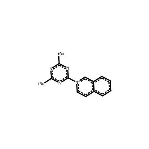 CC(C)(C)c1nc(-[n+]2ccc3ccccc3c2)nc(C(C)(C)C)n1